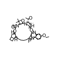 CCOc1ccc2nc3c(nc2c1)O[C@H]1CN(C(=O)[C@H](C(C)(C)C)NC(=O)O[C@@H]2CC4CCC4[C@H]2CCCCC3(F)F)[C@H](C(C)=O)[C@@H]1C